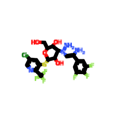 N/C(=C\N(N)C1C(O)C(CO)OC(Sc2cc(Cl)cnc2C(F)(F)F)C1O)c1cc(F)c(F)c(F)c1